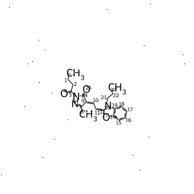 CCCC(=O)N1N=C(C)/C(=C\C=C2\Oc3ccccc3N2CCC)C1=O